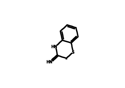 N=C1[C]Sc2ccccc2N1